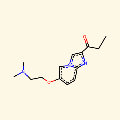 CCC(=O)c1cn2cc(OCCN(C)C)ccc2n1